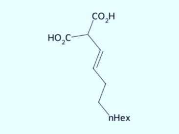 CCCCCCCCC=CC(C(=O)O)C(=O)O